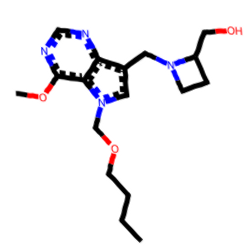 CCCCOCn1cc(CN2CCC2CO)c2ncnc(OC)c21